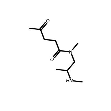 CNC(C)CN(C)C(=O)CCC(C)=O